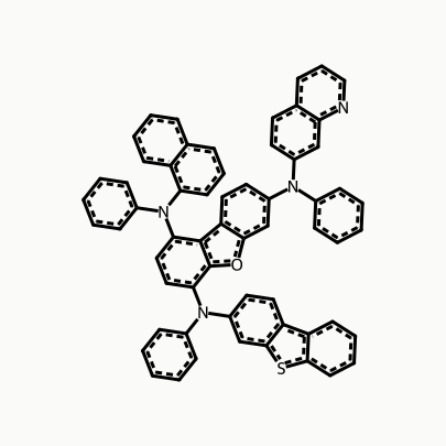 c1ccc(N(c2ccc3cccnc3c2)c2ccc3c(c2)oc2c(N(c4ccccc4)c4ccc5c(c4)sc4ccccc45)ccc(N(c4ccccc4)c4cccc5ccccc45)c23)cc1